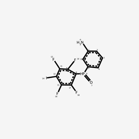 Nc1cccc([PH](=O)c2c(F)c(F)c(I)c(F)c2F)c1